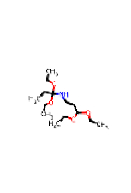 CCOC(CCNC(CC)(OCC)OCC)OCC